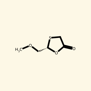 COC[C@H]1OC(=O)CS1